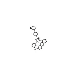 CC1(C)c2cccc(-c3nc(-c4ccccc4)nc(-c4ccc(-c5cccnc5)cc4)n3)c2-c2c1ccc1ccccc21